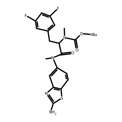 Bc1nc2cc(N(C)C(=O)C(Cc3cc(F)cc(F)c3)N(C)C(=O)OC(C)(C)C)ccc2s1